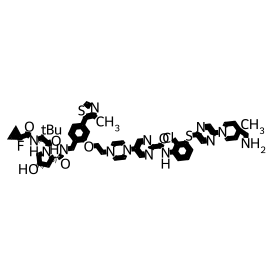 Cc1ncsc1-c1ccc(CNC(=O)[C@@H]2C[C@@H](O)CN2C(=O)[C@@H](NC(=O)C2(F)CC2)C(C)(C)C)c(OCCN2CCN(c3cnc(C(=O)Nc4cccc(Sc5cnc(N6CCC(C)(CN)CC6)cn5)c4Cl)nc3)CC2)c1